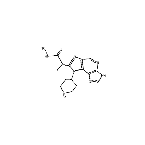 CC(C)NC(=O)C(C)c1nc2cnc3[nH]ccc3c2n1C1CCNCC1